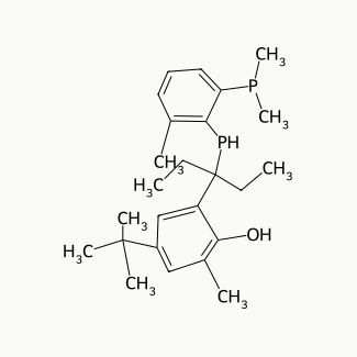 CCC(CC)(Pc1c(C)cccc1P(C)C)c1cc(C(C)(C)C)cc(C)c1O